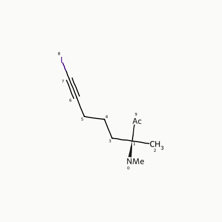 CN[C@@](C)(CCCC#CI)C(C)=O